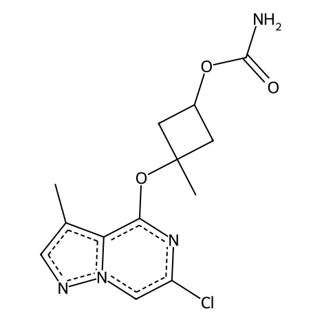 Cc1cnn2cc(Cl)nc(OC3(C)CC(OC(N)=O)C3)c12